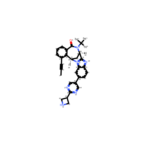 [2H]C([2H])([2H])N1C(=O)c2cccc(C#CC)c2[C@H]2C[C@@H]1c1nc3ccc(-c4cnc(C5CNC5)nc4)cc3n12